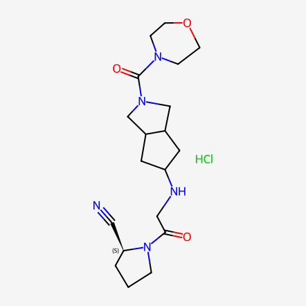 Cl.N#C[C@@H]1CCCN1C(=O)CNC1CC2CN(C(=O)N3CCOCC3)CC2C1